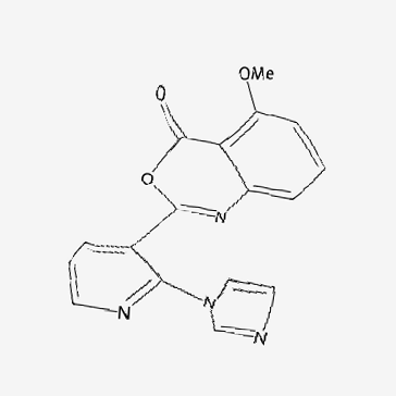 COc1cccc2nc(-c3cccnc3-n3ccnc3)oc(=O)c12